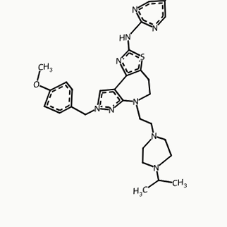 COc1ccc(Cn2cc3c(n2)N(CCN2CCN(C(C)C)CC2)CCc2sc(Nc4ncc(F)cn4)nc2-3)cc1